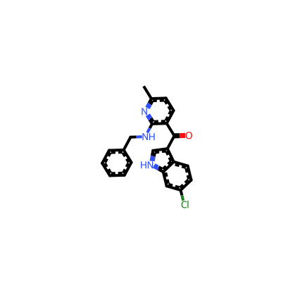 Cc1ccc(C(=O)c2c[nH]c3cc(Cl)ccc23)c(NCc2ccccc2)n1